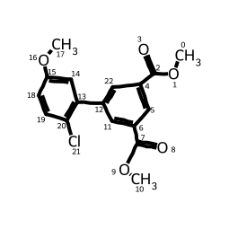 COC(=O)c1cc(C(=O)OC)cc(-c2cc(OC)ccc2Cl)c1